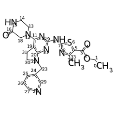 CCOC(=O)c1sc(Nc2nc(N3CCNC(=O)C3)c3c(n2)N(Cc2cccnc2)CC3)nc1C